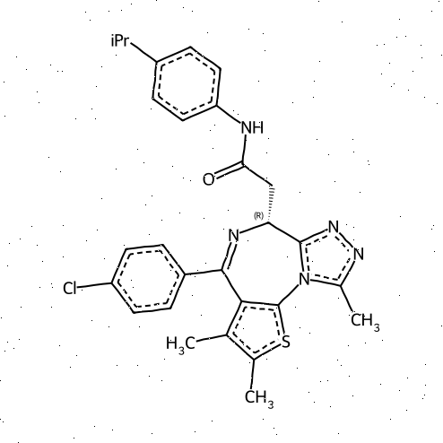 Cc1sc2c(c1C)C(c1ccc(Cl)cc1)=N[C@H](CC(=O)Nc1ccc(C(C)C)cc1)c1nnc(C)n1-2